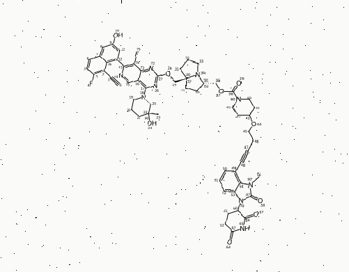 C#Cc1c(F)ccc2cc(O)cc(-c3ncc4c(N5CCC[C@@](C)(O)C5)nc(OC[C@@]56CCCN5[C@H](COC(=O)N5CCC(OCCC#Cc7cccc8c7n(C)c(=O)n8C7CCC(=O)NC7=O)CC5)CC6)nc4c3F)c12